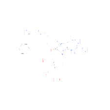 Nc1nc2c(c(=O)[nH]1)n(CC(O)CN1CCNC(c3ccc(F)cc3)C1)c(=O)n2[C@@H]1O[C@H](CO)[C@@H](O)[C@H]1O